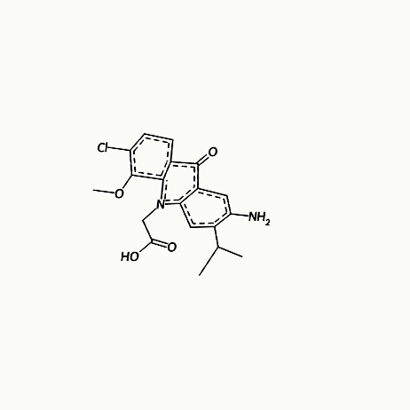 COc1c(Cl)ccc2c(=O)c3cc(N)c(C(C)C)cc3n(CC(=O)O)c12